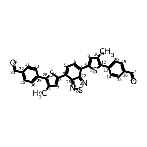 Cc1cc(-c2ccc(-c3cc(C)c(-c4ccc(C=O)cc4)s3)c3nsnc23)sc1-c1ccc(C=O)cc1